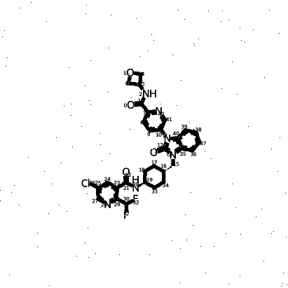 O=C(NC1COC1)c1ccc(-n2c(=O)n(C[C@H]3CC[C@H](NC(=O)c4cc(Cl)cnc4C(F)F)CC3)c3ccccc32)cn1